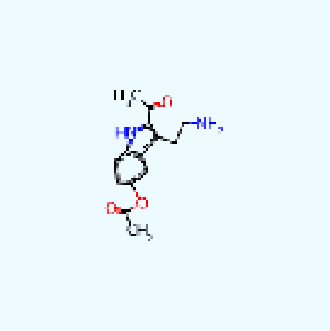 CC(=O)Oc1ccc2[nH]c(C(C)=O)c(CCN)c2c1